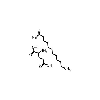 CCCCCCCCCCC[C](=O)[Na].NC(CCC(=O)O)C(=O)O